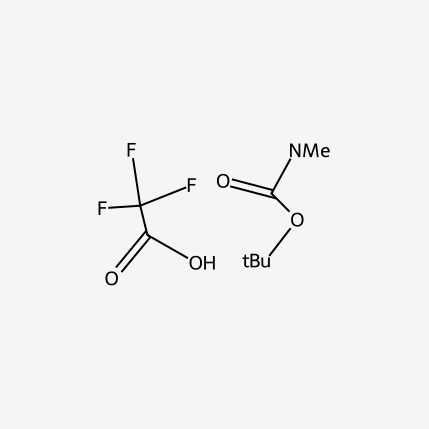 CNC(=O)OC(C)(C)C.O=C(O)C(F)(F)F